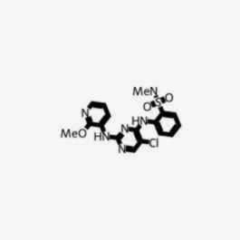 CNS(=O)(=O)c1ccccc1Nc1nc(Nc2cccnc2OC)ncc1Cl